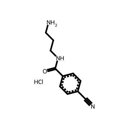 Cl.N#Cc1ccc(C(=O)NCCCN)cc1